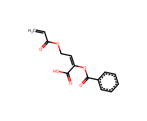 C=CC(=O)OCC=C(OC(=O)c1ccccc1)C(=O)O